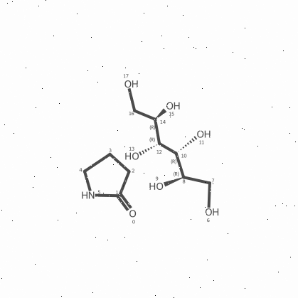 O=C1CCCN1.OC[C@@H](O)[C@@H](O)[C@H](O)[C@H](O)CO